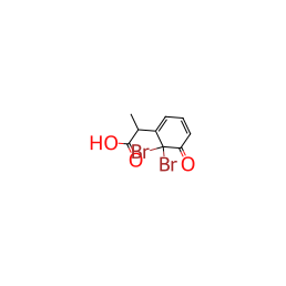 CC(C(=O)O)C1=CC=CC(=O)C1(Br)Br